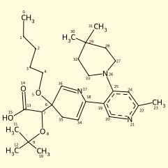 CCCCCOC1(C(OC(C)(C)C)C(=O)O)C=NC(c2cnc(C)cc2N2CCC(C)(C)CC2)=CC1